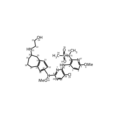 COc1ccc(Nc2nc(N(OC)c3ccc4c(c3)CCCC(NCCO)C4)ncc2Cl)c(N(C)S(C)(=O)=O)n1